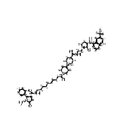 CN1C(=O)C[C@@H](C(=O)NCCCCCCCCCC(=O)N2CCC(N3CCC(C(=O)NCCN4CC[C@H](Nc5ncnc6ccc(C(F)(F)F)cc56)C4=O)CC3)CC2)[C@@H]1c1cccnc1